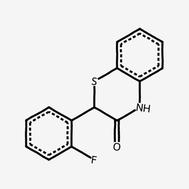 O=C1Nc2ccccc2SC1c1ccccc1F